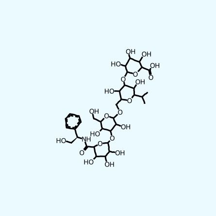 CC(C)C1OC(COC2OC(CO)C(O)C(OC3OC(C(=O)N[C@@H](CO)c4ccccc4)C(O)C(O)C3O)C2O)C(O)C(OC2OC(C(=O)O)C(O)C(O)C2O)C1O